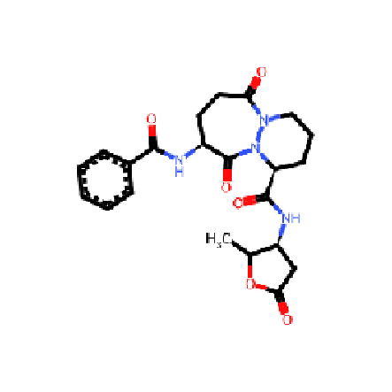 CC1OC(=O)C[C@@H]1NC(=O)[C@@H]1CCCN2C(=O)CC[C@H](NC(=O)c3ccccc3)C(=O)N12